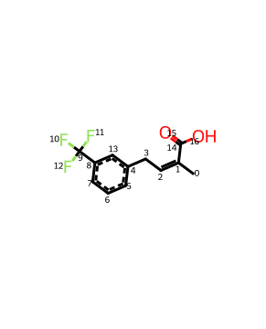 CC(=CCc1cccc(C(F)(F)F)c1)C(=O)O